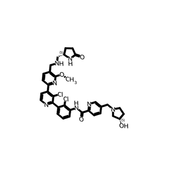 COc1nc(-c2ccnc(-c3cccc(NC(=O)c4ccc(CN5CC[C@H](O)C5)cn4)c3Cl)c2Cl)ccc1CNC[C@@H]1CCC(=O)N1